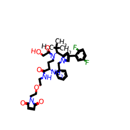 CC(C)(C)[C@H](c1cc(-c2cc(F)ccc2F)cn1Cc1ccccc1)N(CC[C@H](N)C(=O)NCCOCCN1C(=O)C=CC1=O)C(=O)CO